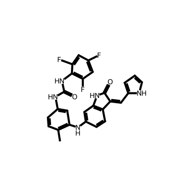 Cc1ccc(NC(=O)Nc2c(F)cc(F)cc2F)cc1Nc1ccc2c(c1)NC(=O)C2=Cc1ccc[nH]1